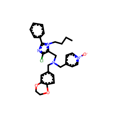 CCCCn1c(-c2ccccc2)nc(Cl)c1CN(Cc1cc[n+]([O-])cc1)Cc1ccc2c(c1)OCCO2